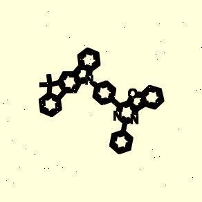 CC1(C)c2ccccc2-c2cc3c(cc21)c1ccccc1n3-c1ccc(-c2nc(-c3ccccc3)nc3c2oc2ccccc23)cc1